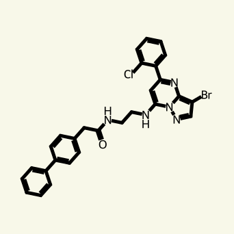 O=C(Cc1ccc(-c2ccccc2)cc1)NCCNc1cc(-c2ccccc2Cl)nc2c(Br)cnn12